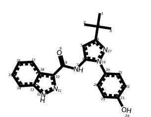 CC(C)(C)c1cc(NC(=O)c2n[nH]c3ccccc23)n(-c2ccc(O)cc2)n1